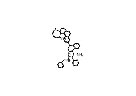 C=C1/C=C\C=C/Sc2ccc3ccc4cc(C5CC=C([C@H](N)C(NNCc6ccccc6)c6ccccc6)c6ccccc65)ccc4c3c21